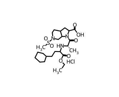 CCOC(=O)C(CCC1CCCCC1)N[C@@H](C)C(=O)N1C(C(=O)O)CC2CCN(S(C)(=O)=O)CC21.Cl